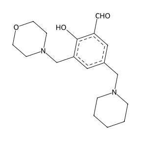 O=Cc1cc(CN2CCCCC2)cc(CN2CCOCC2)c1O